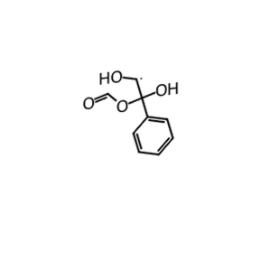 O=COC(O)([CH]O)c1ccccc1